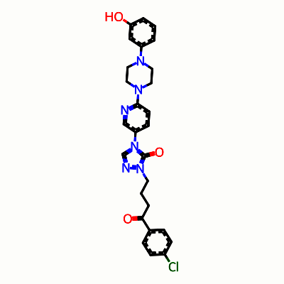 O=C(CCCn1ncn(-c2ccc(N3CCN(c4cccc(O)c4)CC3)nc2)c1=O)c1ccc(Cl)cc1